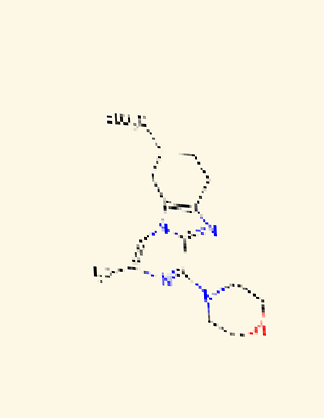 Bc1cn2c3c(nc2c(N2CCOCC2)n1)CCC(C(=O)OCC)C3